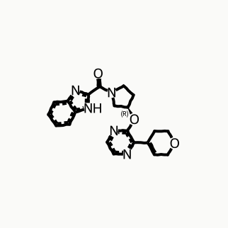 O=C(c1nc2ccccc2[nH]1)N1CC[C@@H](Oc2nccnc2C2=CCOCC2)C1